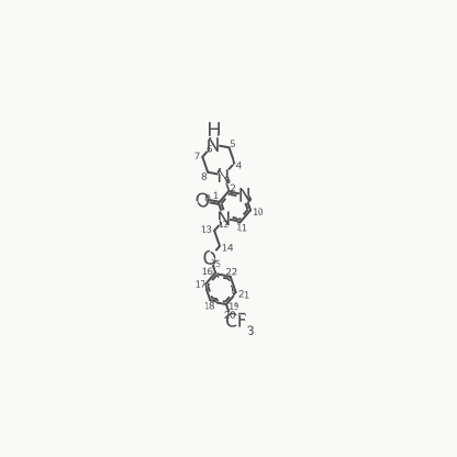 O=c1c(N2CCNCC2)nccn1CCOc1ccc(C(F)(F)F)cc1